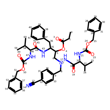 CCC(=O)OC(CN(Cc1ccc(C#N)cc1)NC(=O)[C@@H](NC(=O)OCc1ccccc1)C(C)C)C(Cc1ccccc1)NC(=O)[C@@H](NC(=O)OCc1ccccc1)C(C)C